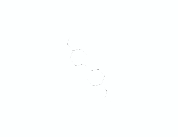 CC[C@H]1CC[C@H]([C@H]2CC[C@H](CI)CC2)CC1